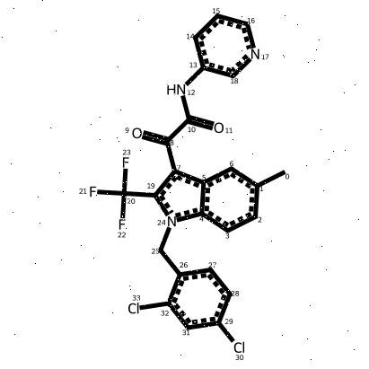 Cc1ccc2c(c1)c(C(=O)C(=O)Nc1cccnc1)c(C(F)(F)F)n2Cc1ccc(Cl)cc1Cl